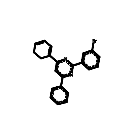 Brc1cccc(-c2nc(C3=CC=CCC3)cc(-c3ccccc3)n2)c1